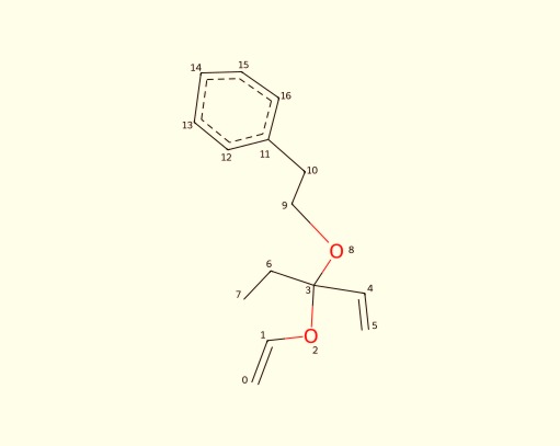 C=COC(C=C)(CC)OCCc1ccccc1